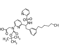 CCCCCCc1cccc(CC(NS(=O)(=O)c2ccccn2)c2cccc(N(CC(=O)O)C(=O)OC(C)(C)C)n2)c1